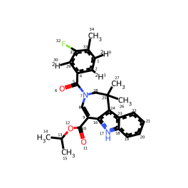 [2H]c1c([2H])c(C(=O)N2C=C(C(=O)OC(C)C)c3[nH]c4ccccc4c3C(C)(C)C2)c([2H])c(F)c1C